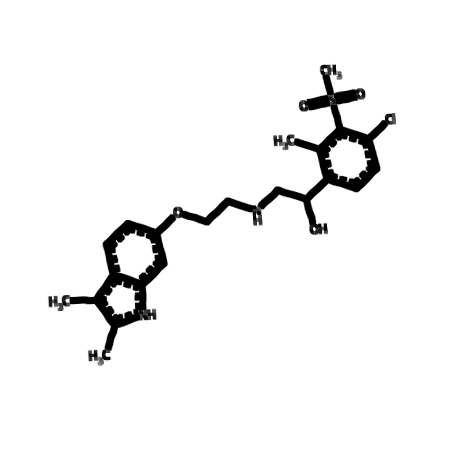 Cc1[nH]c2cc(OCCNCC(O)c3ccc(Cl)c(S(C)(=O)=O)c3C)ccc2c1C